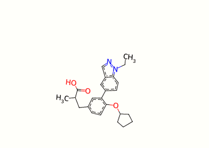 CCn1ncc2cc(-c3cc(CC(C)C(=O)O)ccc3OC3CCCC3)ccc21